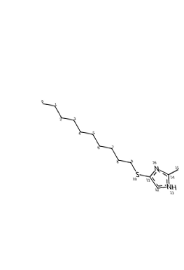 CCCCCCCCCCSc1c[nH]c(C)n1